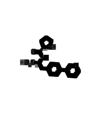 O=C(O)[C@H](Cc1ccc(-c2cccnc2)cc1)NC(=O)[C@@H]1CCCN1